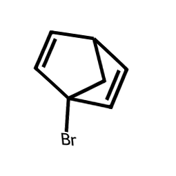 BrC12C=CC(C=C1)C2